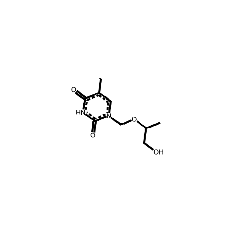 Cc1cn(COC(C)CO)c(=O)[nH]c1=O